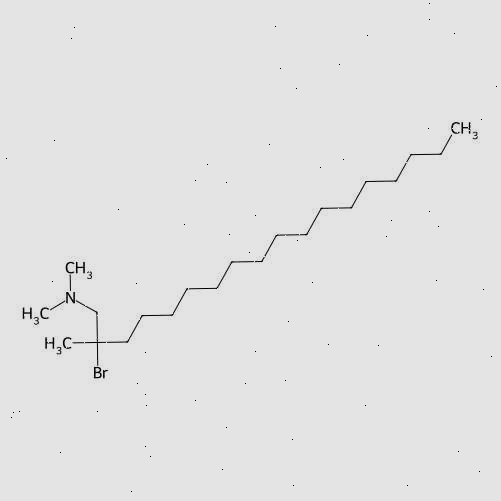 CCCCCCCCCCCCCCCCC(C)(Br)CN(C)C